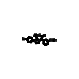 COC(=O)C(c1cccc(OC)c1)n1ccn(-c2ccc(Br)cc2)c1=O